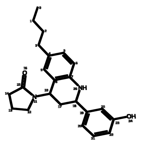 CCCCc1ccc2c(c1)C(N1CCCC1=O)CC(c1cccc(O)c1)N2